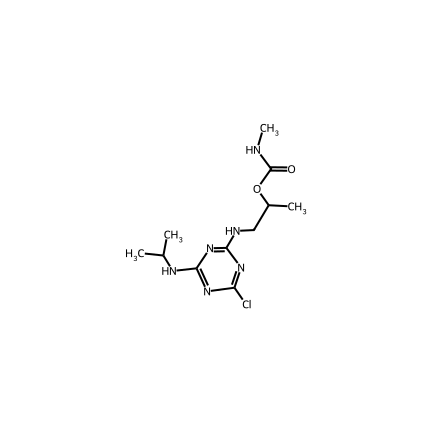 CNC(=O)OC(C)CNc1nc(Cl)nc(NC(C)C)n1